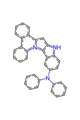 c1ccc(N(c2ccccc2)c2ccc3[nH]c4cc5c6ccccc6c6ccccc6n5c4c3c2)cc1